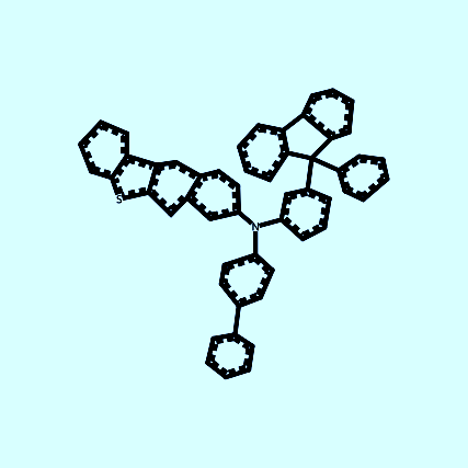 c1ccc(-c2ccc(N(c3cccc(C4(c5ccccc5)c5ccccc5-c5ccccc54)c3)c3ccc4cc5c(cc4c3)sc3ccccc35)cc2)cc1